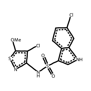 COc1snc(NS(=O)(=O)c2c[nH]c3cc(Cl)ccc23)c1Cl